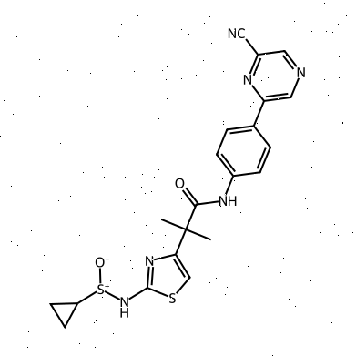 CC(C)(C(=O)Nc1ccc(-c2cncc(C#N)n2)cc1)c1csc(N[S+]([O-])C2CC2)n1